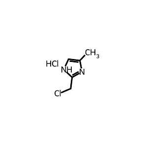 Cc1c[nH]c(CCl)n1.Cl